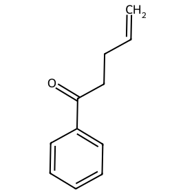 C=CCCC(=O)c1ccccc1